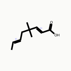 C/C=C/CC(C)(C)/C=C/C(=O)O